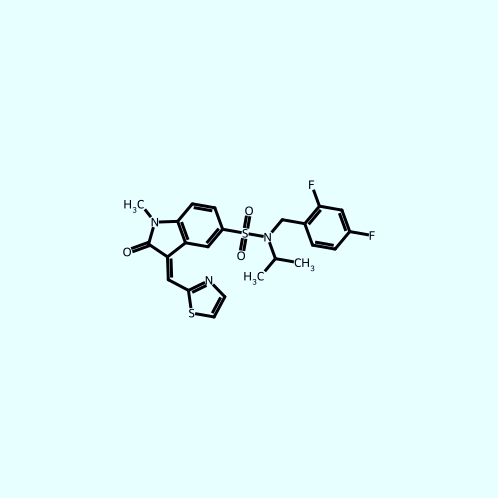 CC(C)N(Cc1ccc(F)cc1F)S(=O)(=O)c1ccc2c(c1)/C(=C\c1nccs1)C(=O)N2C